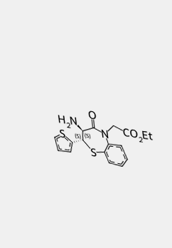 CCOC(=O)CN1C(=O)[C@H](N)[C@@H](c2cccs2)Sc2ccccc21